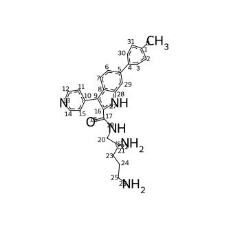 Cc1ccc(-c2ccc3c(-c4ccncc4)c(C(=O)NC[C@@H](N)CCCN)[nH]c3c2)cc1